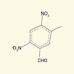 Cc1cc(C=O)c([N+](=O)[O-])cc1[N+](=O)[O-]